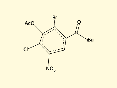 CCC(C)C(=O)c1cc([N+](=O)[O-])c(Cl)c(OC(C)=O)c1Br